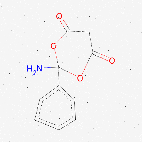 NC1(c2ccccc2)OC(=O)CC(=O)O1